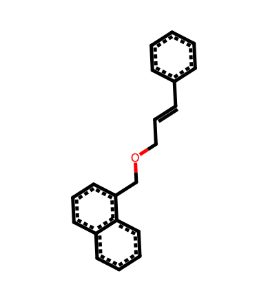 C(=Cc1ccccc1)COCc1cccc2ccccc12